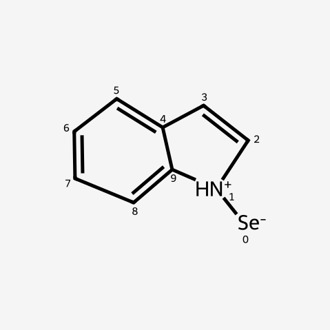 [Se-][NH+]1C=Cc2ccccc21